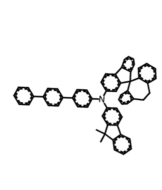 CC1(C)c2ccccc2-c2ccc(N(c3ccc(-c4ccc(-c5ccccc5)cc4)cc3)c3ccc4c(c3)C3(c5ccccc5CCc5ccccc53)c3ccccc3-4)cc21